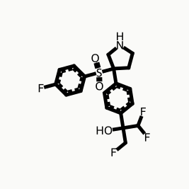 O=S(=O)(c1ccc(F)cc1)C1(c2ccc(C(O)(CF)C(F)F)cc2)CCNC1